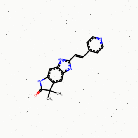 CC1(C)C(=O)Nc2cc3[nH]c(C=Cc4ccncc4)nc3cc21